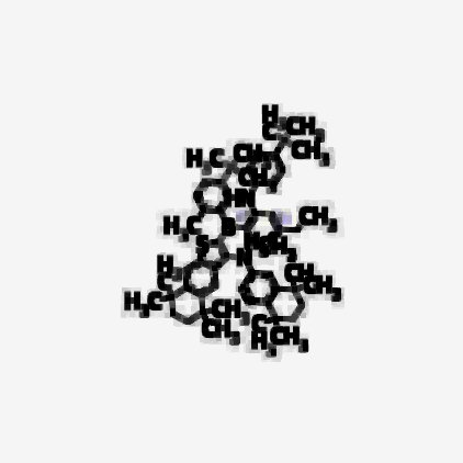 CC/C(C)=C/C(Nc1ccc(C(C)(C)C)cc1)=C1/B(c2cc(C(C)(C)C)ccc2C)c2sc3cc4c(cc3c2N(c2c#cc3c(c2)C(C)(C)CCC3(C)C)C1C)C(C)(C)CCC4(C)C